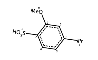 COc1cc(C(C)C)ccc1S(=O)(=O)O